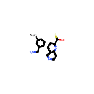 COc1cccc(CN)c1.OC(=S)c1ccc2cnccc2n1